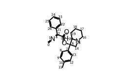 C=[N+]=C(C(=O)O[C@]1(c2ccc(C)cc2)CN2CCCC[C@@H]21)c1ccccc1